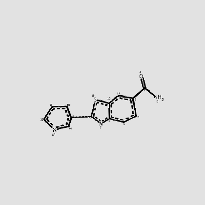 NC(=O)c1ccc2nc(-c3cc[c]nc3)sc2c1